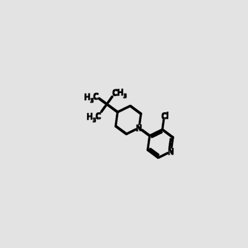 CC(C)(C)C1CCN(c2ccncc2Cl)CC1